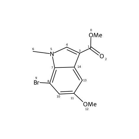 COC(=O)c1cn(C)c2c(Br)cc(OC)cc12